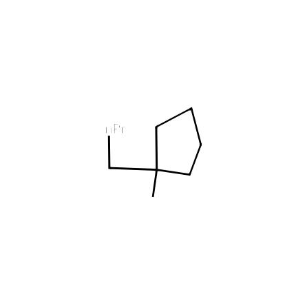 [CH2]C1(CCCC)CCCC1